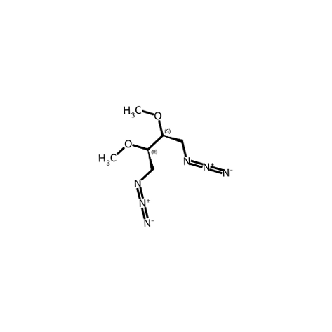 CO[C@@H](CN=[N+]=[N-])[C@@H](CN=[N+]=[N-])OC